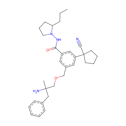 CCCC1CCCN1NC(=O)c1cc(COCC(C)(N)Cc2ccccc2)cc(C2(C#N)CCCC2)c1